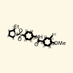 CCC1CCCN1S(=O)(=O)c1ccc(NC(=O)c2ccc(OC)c(I)c2)cc1